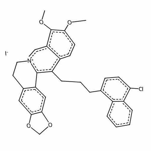 COc1ccc2c(CCCc3ccc(Cl)c4ccccc34)c3[n+](cc2c1OC)CCc1cc2c(cc1-3)OCO2.[I-]